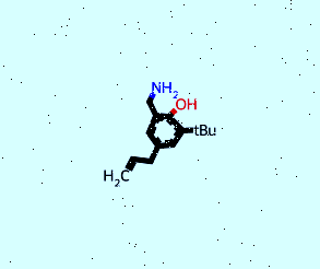 C=CCc1cc(CN)c(O)c(C(C)(C)C)c1